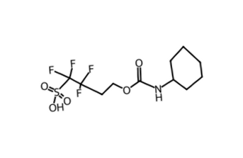 O=C(NC1CCCCC1)OCCC(F)(F)C(F)(F)S(=O)(=O)O